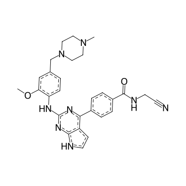 COc1cc(CN2CCN(C)CC2)ccc1Nc1nc(-c2ccc(C(=O)NCC#N)cc2)c2cc[nH]c2n1